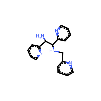 NC(c1ccccn1)C(NCc1ccccn1)c1ccccn1